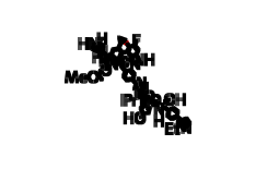 CCn1nccc1-c1ccc([C@H](CO)NC(=O)[C@@H]2C[C@@H](O)CN2C(=O)[C@H](C(C)C)n2cc(-c3ccc(COc4c(-c5c(C)c(F)cc6[nH]ncc56)c(C5CC5)cc5c(N6C[C@@H]7C[C@H]6CN7)nc(OC[C@H](C)OC)nc45)cc3)nn2)cc1